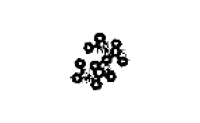 c1ccc(-c2nc(-n3c4ccccc4c4c5c6ccccc6oc5c5c(-c6ccc7c8c9c%10ccccc%10sc9c9ccccc9c8n(-c8nc(-c9ccccc9)c9ccccc9n8)c7c6)cccc5c43)nc3ccccc23)cc1